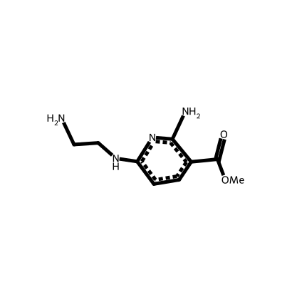 COC(=O)c1ccc(NCCN)nc1N